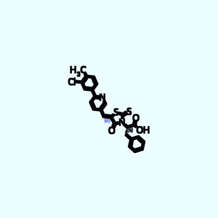 Cc1ccc(-c2ccc(/C=C3\SC(=S)N([C@@H](Cc4ccccc4)C(=O)O)C3=O)cn2)cc1Cl